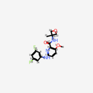 COc1ccc(Nc2cc(F)cc(F)c2)nc1C(=O)NC1(C)COC1